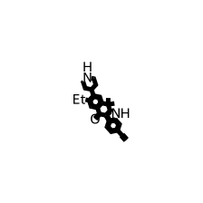 C#Cc1ccc2c3c([nH]c2c1)C(C)(C)c1cc(C2CCNCC2)c(CC)cc1C3=O